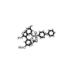 COc1cccc(-c2c(C(C)C)sc3nc(C)cc(N(OC(=O)C(F)(F)F)S(=O)(=O)c4ccc(-c5ccccc5)nc4)c23)c1